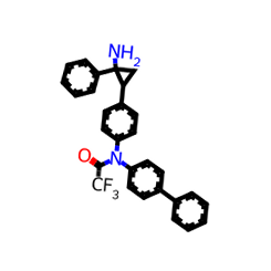 NC1(c2ccccc2)CC1c1ccc(N(C(=O)C(F)(F)F)c2ccc(-c3ccccc3)cc2)cc1